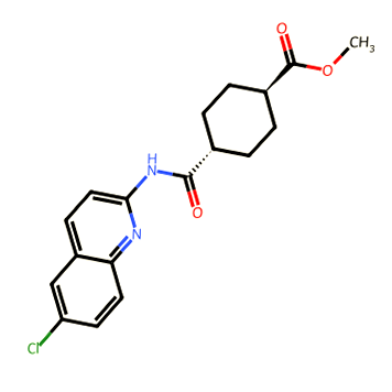 COC(=O)[C@H]1CC[C@H](C(=O)Nc2ccc3cc(Cl)ccc3n2)CC1